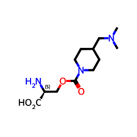 CN(C)CC1CCN(C(=O)OC[C@H](N)C(=O)O)CC1